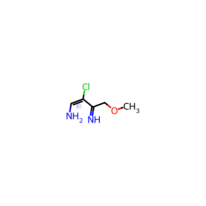 COCC(=N)/C(Cl)=C\N